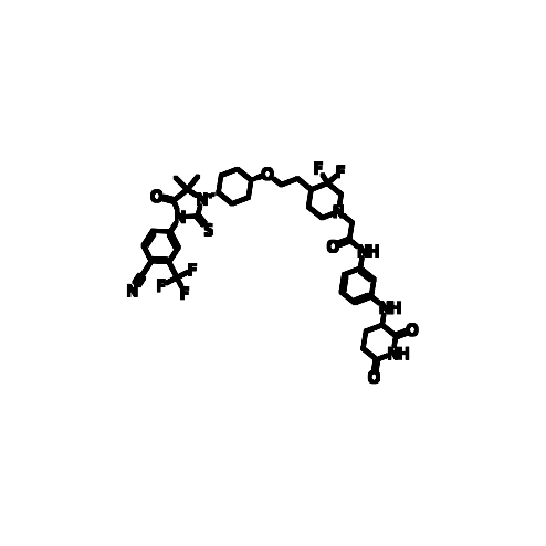 CC1(C)C(=O)N(c2ccc(C#N)c(C(F)(F)F)c2)C(=S)N1[C@H]1CC[C@H](OCCC2CCN(CC(=O)Nc3cccc(NC4CCC(=O)NC4=O)c3)CC2(F)F)CC1